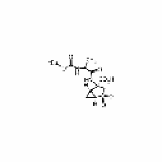 C[C@H](NC(=O)OC(C)(C)C)C(=O)N[C@@]1(C(=O)O)CS(=O)(=O)[C@H]2C[C@H]21